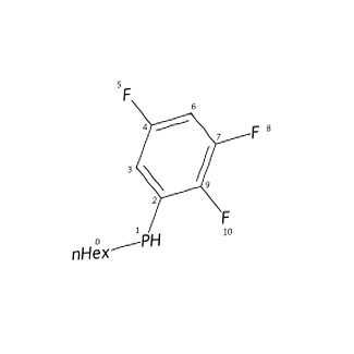 CCCCCCPc1cc(F)cc(F)c1F